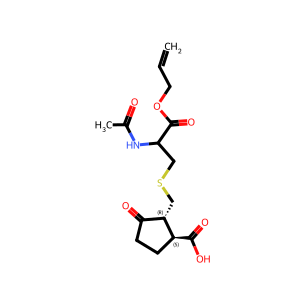 C=CCOC(=O)C(CSC[C@H]1C(=O)CC[C@@H]1C(=O)O)NC(C)=O